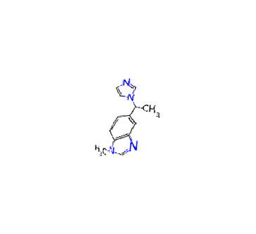 CC(c1ccc2c(c1)ncn2C)n1ccnc1